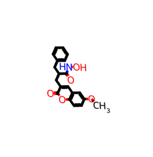 COc1ccc2oc(=O)c(CC(Cc3ccccc3)C(=O)NO)cc2c1